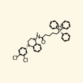 CN(C(=O)CCCC[PH](c1ccccc1)(c1ccccc1)c1ccccc1)[C@H]1CC[C@@H](c2ccc(Cl)c(Cl)c2)c2ccccc21